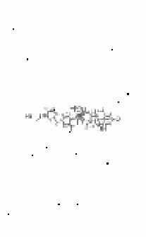 C[C@]12C=CC(=O)C=C1CC[C@@H]1[C@@H]2[C@@H](O)C[C@@]2(C)[C@H]1C[C@H]1O[C@@H](c3ccc(Cc4cccc(C(=O)O)c4)cc3F)O[C@]12C(=O)CO